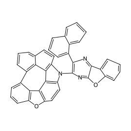 c1ccc2c(-c3nc4c(nc3-n3c5ccc6cccc7c6c5c5c6c(ccc53)oc3cccc-7c36)oc3ccccc34)cccc2c1